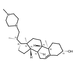 C[C@H](CN1CCN(C)CC1)[C@H]1CC[C@H]2[C@@H]3CC=C4C[C@@H](O)CC[C@]4(C)[C@H]3CC[C@]12C